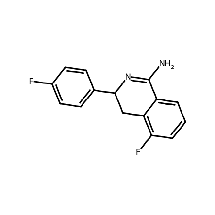 NC1=NC(c2ccc(F)cc2)Cc2c(F)cccc21